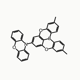 Cc1ccc2c(c1)Oc1cc(N3c4ccccc4Oc4ccccc43)cc3c1B2c1ccc(C)cc1O3